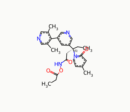 CCC(=O)ONC(=O)C[C@@](CC)(c1cncc(-c2c(C)cncc2C)c1)n1ccc(C)cc1=O